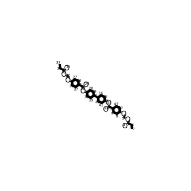 C=CC(=O)OCOc1ccc(C(=O)Oc2ccc(-c3ccc(OC(=O)c4ccc(OCOC(=O)C=C)cc4)cc3)cc2)cc1